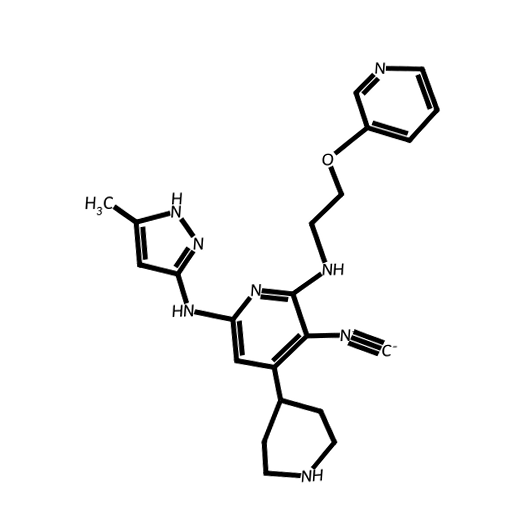 [C-]#[N+]c1c(C2CCNCC2)cc(Nc2cc(C)[nH]n2)nc1NCCOc1cccnc1